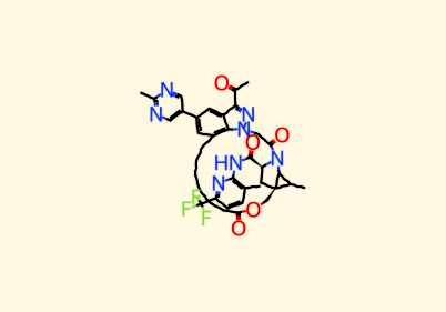 CC(=O)c1nn2c3c(cc(-c4cnc(C)nc4)cc13)CCCCCCC(=O)OC[C@@]13C[C@@H](C(=O)Nc4nc(C(F)(F)F)ccc4C)N(C(=O)C2)C1C3C